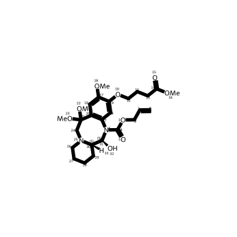 C=CCOC(=O)N1c2cc(OCCCC(=O)OC)c(OC)cc2C(OC)(OC)CN2CCCC[C@H]2[C@@H]1O